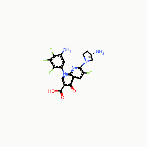 Nc1cc(-n2cc(C(=O)O)c(=O)c3cc(F)c(N4CC[C@H](N)C4)nc32)c(F)c(F)c1F